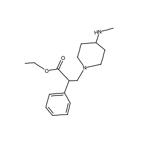 CCOC(=O)C(CN1CCC(NC)CC1)c1ccccc1